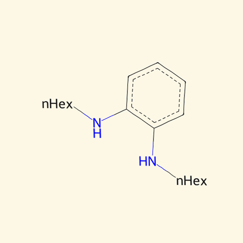 CCCCCCNc1ccccc1NCCCCCC